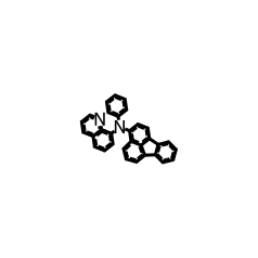 c1ccc(N(c2ccc3c4c(cccc24)-c2ccccc2-3)c2cccc3cccnc23)cc1